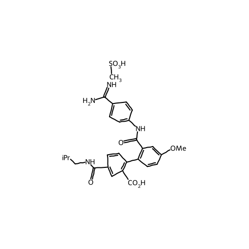 COc1ccc(-c2ccc(C(=O)NCC(C)C)cc2C(=O)O)c(C(=O)Nc2ccc(C(=N)N)cc2)c1.CS(=O)(=O)O